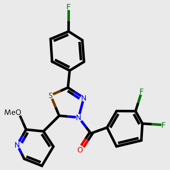 COc1ncccc1C1SC(c2ccc(F)cc2)=NN1C(=O)c1ccc(F)c(F)c1